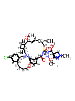 CC[C@H]1C/C=C/[C@H](OC)[C@@H]2CC[C@H]2CN2Cc3ccc(Cl)cc3CCCCOc3ccc(cc32)C(=O)N=S(=O)(NC(=O)c2cn(C)nc2OC)C1